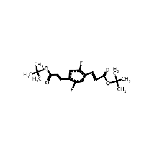 CC(C)(C)OC(=O)C=Cc1cc(F)c(C=CC(=O)OC(C)(C)C)cc1F